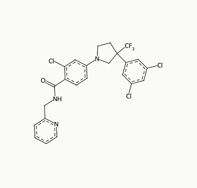 O=C(NCc1ccccn1)c1ccc(N2CCC(c3cc(Cl)cc(Cl)c3)(C(F)(F)F)C2)cc1Cl